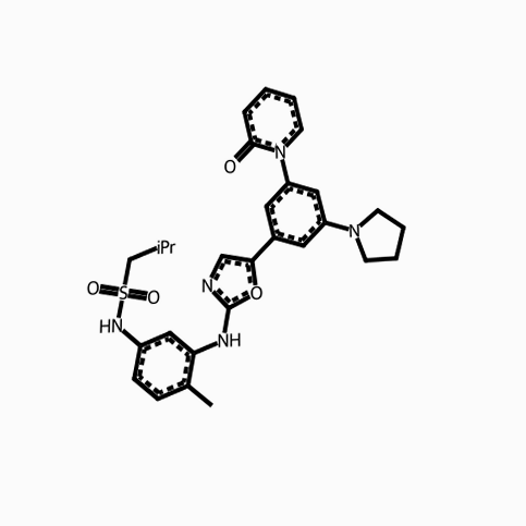 Cc1ccc(NS(=O)(=O)CC(C)C)cc1Nc1ncc(-c2cc(N3CCCC3)cc(-n3ccccc3=O)c2)o1